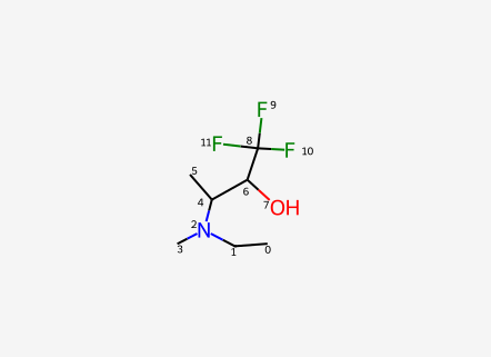 CCN(C)C(C)C(O)C(F)(F)F